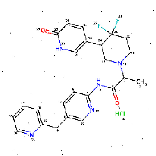 CC(C(=O)Nc1ccc(Cc2ccccn2)cn1)N1CCC(F)(F)C(c2ccc(=O)[nH]c2)C1.Cl